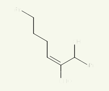 CC(C)CCCC=C(C=O)C(C)C(C)C